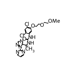 COCCOCCOc1cc(NC(=O)N[C@@H](C)c2ncnn2-c2ncccn2)c(Cl)cc1Cl